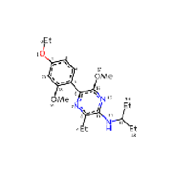 CCOc1ccc(-c2nc(CC)c(NC(CC)CC)nc2OC)c(OC)c1